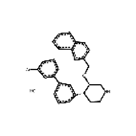 CC(=O)c1cccc(-c2cccc([C@H]3CCNC[C@@H]3OCc3ccc4ccccc4c3)c2)c1.Cl